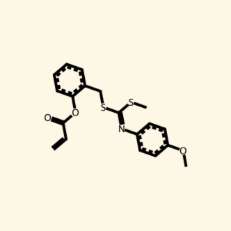 C=CC(=O)Oc1ccccc1CSC(=Nc1ccc(OC)cc1)SC